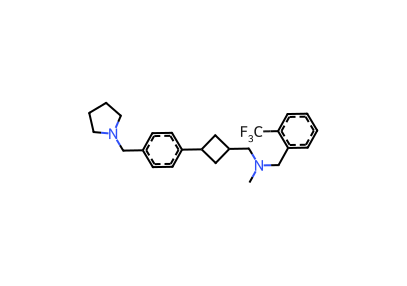 CN(Cc1ccccc1C(F)(F)F)CC1CC(c2ccc(CN3CCCC3)cc2)C1